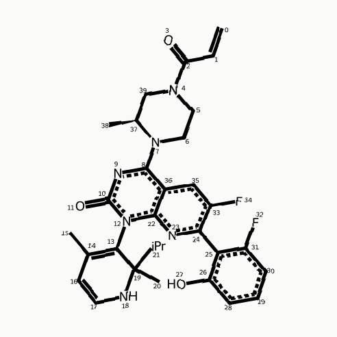 C=CC(=O)N1CCN(c2nc(=O)n(C3=C(C)C=CNC3(C)C(C)C)c3nc(-c4c(O)cccc4F)c(F)cc23)[C@@H](C)C1